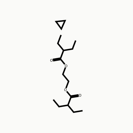 C1CC1.CCC(CC)C(=O)OCCOC(=O)C(CC)CC